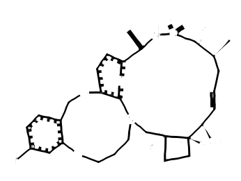 CC(=O)O[C@@H]1/C=C/C[C@H](C)[C@@H](C)S(=O)(=O)NC(=O)c2ccc3c(c2)N(CCCCc2cc(Cl)ccc2CO3)C[C@@H]2CC[C@H]21